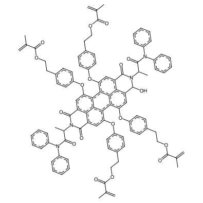 C=C(C)C(=O)OCCc1ccc(Oc2cc3c4c(cc(Oc5ccc(CCOC(=O)C(=C)C)cc5)c5c6c(Oc7ccc(CCOC(=O)C(=C)C)cc7)cc7c8c(cc(Oc9ccc(CCOC(=O)C(=C)C)cc9)c(c2c45)c86)C(=O)N(C(C)C(=O)N(c2ccccc2)c2ccccc2)C7O)C(=O)N(C(C)C(=O)N(c2ccccc2)c2ccccc2)C3=O)cc1